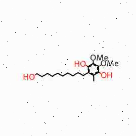 COc1c(O)c(C)c(CCCCCCCCCCO)c(O)c1OC